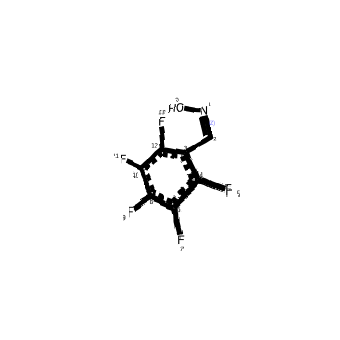 O/N=C\c1c(F)c(F)c(F)c(F)c1F